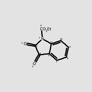 CCOC(=O)N1C(=O)C(=O)c2ccccc21